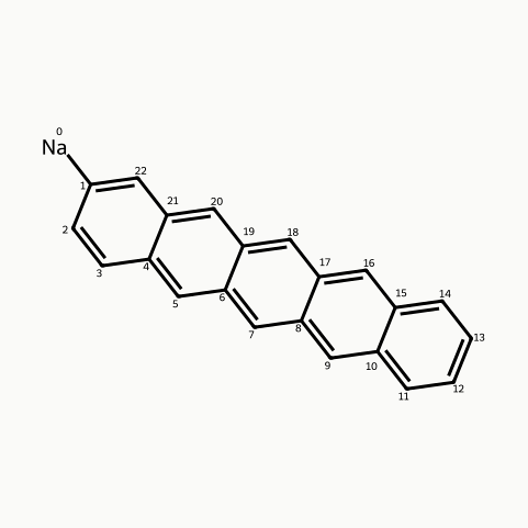 [Na][c]1ccc2cc3cc4cc5ccccc5cc4cc3cc2c1